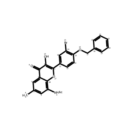 CC(=O)Nc1cc(C)cc2c(=O)c(O)c(-c3ccc(OCc4ccccc4)c(Br)c3)oc12